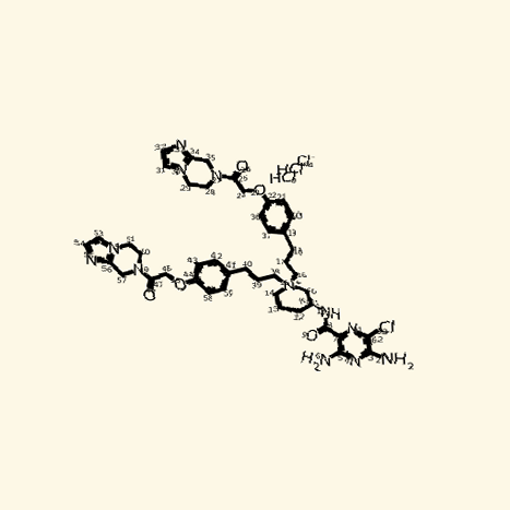 Cl.Cl.Nc1nc(N)c(C(=O)N[C@H]2CCC[N+](CCCc3ccc(OCC(=O)N4CCn5ccnc5C4)cc3)(CCCc3ccc(OCC(=O)N4CCn5ccnc5C4)cc3)C2)nc1Cl.[Cl-]